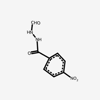 O=CNNC(=O)c1ccc([N+](=O)[O-])cc1